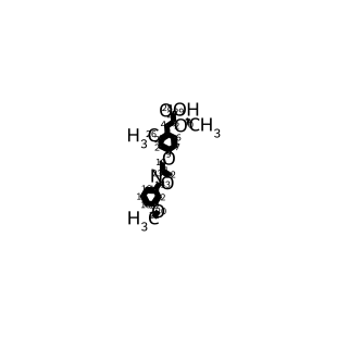 CCOC(Cc1ccc(OCc2coc(-c3cccc(OC)c3)n2)cc1C)C(=O)O